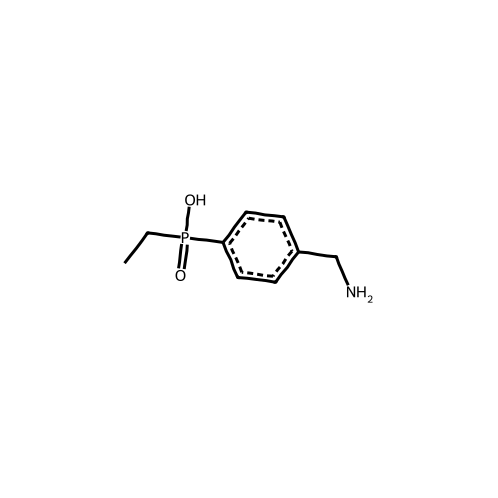 CCP(=O)(O)c1ccc(CN)cc1